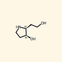 OCC[C@@H]1NCC[C@@H]1O